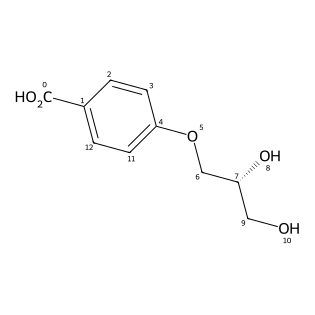 O=C(O)c1ccc(OC[C@H](O)CO)cc1